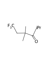 CC(C)C(=O)C(C)(C)CC(F)(F)F